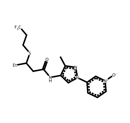 CCC(CC(=O)Nc1cn(-c2ccc[n+]([O-])c2)nc1C)SCCC(F)(F)F